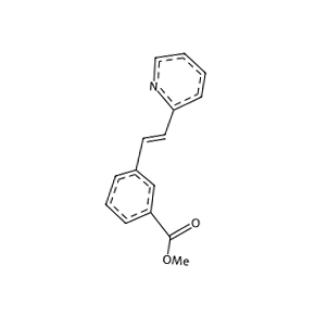 COC(=O)c1cccc(C=Cc2ccccn2)c1